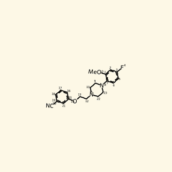 COc1cc(F)ccc1N1CCN(CCOc2cccc(C#N)c2)CC1